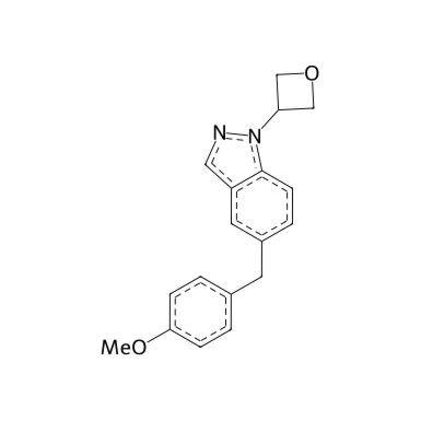 COc1ccc(Cc2ccc3c(cnn3C3COC3)c2)cc1